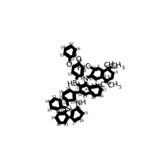 Cc1cc2c(cc1N1c3cc4c(cc3Bc3c(-c5cccc6c5Nc5ccccc5[Si]6(c5ccccc5)c5ccccc5)cc5ccccc5c31)Oc1ccccc1O4)C(C)(C)CCC2(C)C